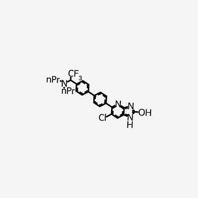 CCCN(CCC)C(c1ccc(-c2ccc(-c3nc4nc(O)[nH]c4cc3Cl)cc2)cc1)C(F)(F)F